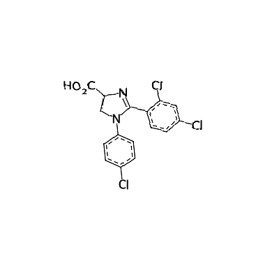 O=C(O)C1CN(c2ccc(Cl)cc2)C(c2ccc(Cl)cc2Cl)=N1